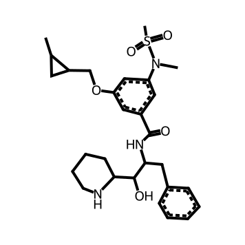 CC1CC1COc1cc(C(=O)NC(Cc2ccccc2)C(O)C2CCCCN2)cc(N(C)S(C)(=O)=O)c1